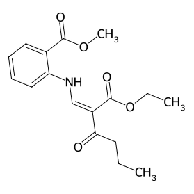 CCCC(=O)/C(=C/Nc1ccccc1C(=O)OC)C(=O)OCC